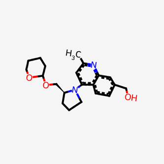 Cc1cc(N2CCC[C@H]2COC2CCCCO2)c2ccc(CO)cc2n1